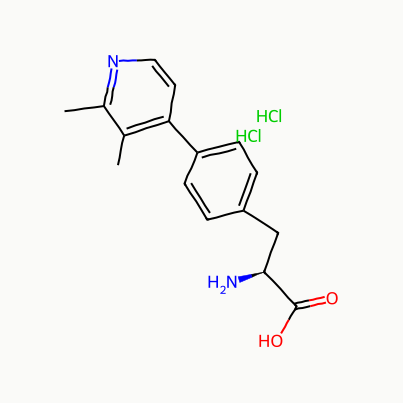 Cc1nccc(-c2ccc(C[C@H](N)C(=O)O)cc2)c1C.Cl.Cl